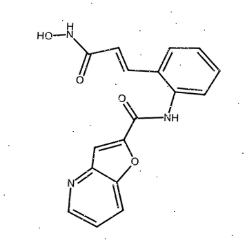 O=C(/C=C/c1ccccc1NC(=O)c1cc2ncccc2o1)NO